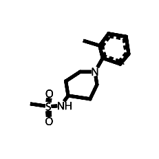 Cc1ccc[c]c1N1CCC(NS(C)(=O)=O)CC1